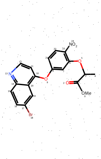 COC(=O)C(C)Oc1cc(Oc2ccnc3ccc(Br)cc23)ccc1[N+](=O)[O-]